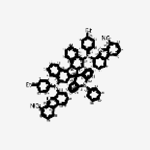 CCc1ccc(N(c2cc3c(c4ccccc24)-c2c(cc(N(c4ccc(CC)cc4)c4cccc5c4oc4c(C#N)cccc45)c4ccccc24)C32c3ccccc3N(c3ccccc3)c3ccccc32)c2cccc3c2oc2c(C#N)cccc23)cc1